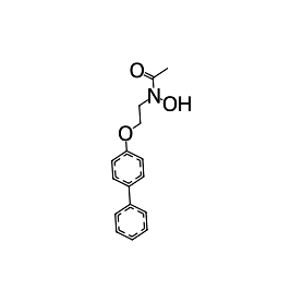 CC(=O)N(O)CCOc1ccc(-c2ccccc2)cc1